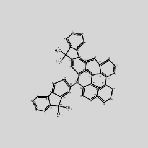 CC1(C)c2ccccc2-c2ccc(N(c3ccc4c(c3)C(C)(C)c3ccccc3-4)c3ccccc3-c3cccc4cccc(C5=CC=CCC5)c34)cc21